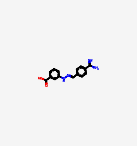 N=C(N)c1ccc(/C=N/Nc2cccc(C(=O)O)c2)cc1